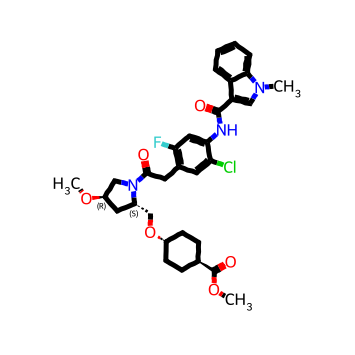 COC(=O)[C@H]1CC[C@H](OC[C@@H]2C[C@@H](OC)CN2C(=O)Cc2cc(Cl)c(NC(=O)c3cn(C)c4ccccc34)cc2F)CC1